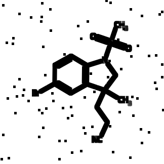 CC1(CCC#N)CN(S(C)(=O)=O)c2ccc(Br)cc21